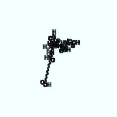 CC(=O)N[C@H](CCC(=O)O)C(=O)N[C@@H](CCNC(=O)[C@H](NC(=O)[C@@H](N)CCNCCNC(=O)CCCCCCCCCCCCC(=O)O)c1c[nH]c2ccccc12)C(=O)O